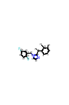 Cc1cccc([C@H](C)c2nccn2Cc2cc(F)ccc2F)c1C